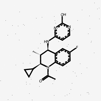 CC(=O)N1c2ccc(F)cc2[C@H](Nc2ccnc(O)n2)[C@@H](C)[C@@H]1C1CC1